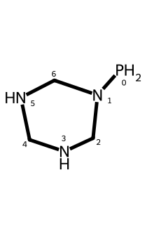 PN1CNCNC1